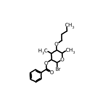 CCCCOC1C(C)OC(Br)C(OC(=O)c2ccccc2)C1C